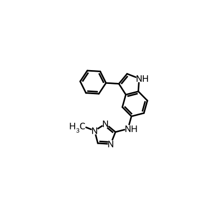 Cn1cnc(Nc2ccc3[nH]cc(-c4ccccc4)c3c2)n1